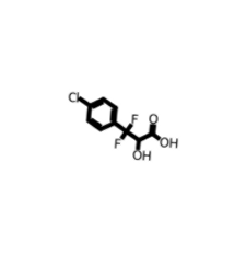 O=C(O)C(O)C(F)(F)c1ccc(Cl)cc1